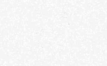 COc1cccc(C2=NNC(c3ccc4c(c3)CN(N3C(=O)CCCC3=O)C4=O)C2)n1